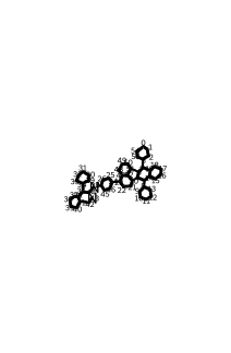 c1ccc(-c2c3c(c(-c4ccccc4)c4ccccc24)-c2ccc(-c4ccc(-n5c6ccccc6c6c7ccccc7cnc65)cc4)c4cccc-3c24)cc1